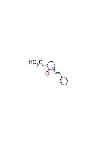 O=C(O)CC1CCCN(C=Cc2ccccc2)C1=O